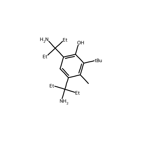 CCC(N)(CC)c1cc(C(N)(CC)CC)c(O)c(C(C)(C)C)c1C